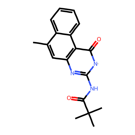 Cc1cc2c(c3ccccc13)C(=O)[N]C(NC(=O)C(C)(C)C)=N2